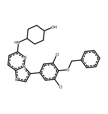 OC1CCC(Nc2ccc3ncc(-c4cc(Cl)c(OCc5ccccc5)c(Cl)c4)n3n2)CC1